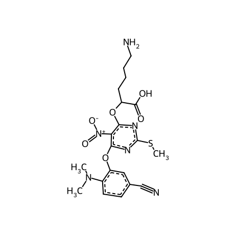 CSc1nc(Oc2cc(C#N)ccc2N(C)C)c([N+](=O)[O-])c(OC(CCCCN)C(=O)O)n1